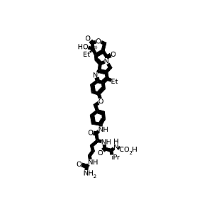 CCc1c2c(nc3ccc(OCc4ccc(NC(=O)C(CCCNC(N)=O)NC(=O)C(NC(=O)O)C(C)C)cc4)cc13)-c1cc3c(c(=O)n1C2)COC(=O)[C@]3(O)CC